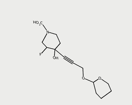 O=C(O)N1CCC(O)(C#CCOC2CCCCO2)C(F)C1